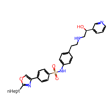 CCCCCCCc1nc(-c2ccc(S(=O)(=O)Nc3ccc(CCNCC(O)c4cccnc4)cc3)cc2)co1